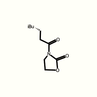 CC[C@@H](C)CCC(=O)N1CCOC1=O